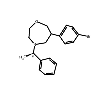 C[C@H](c1ccccc1)N1CCOCC(c2ccc(Br)cc2)C1